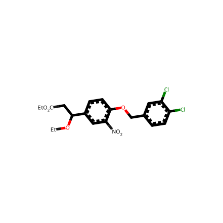 CCOC(=O)CC(OCC)c1ccc(OCc2ccc(Cl)c(Cl)c2)c([N+](=O)[O-])c1